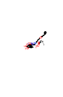 CCC(=O)O.OCc1cc(C(O)CNCCCCCCOCCCCc2ccccc2)ccc1O